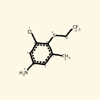 Cc1cc(N)cc(Cl)c1SCC(F)(F)F